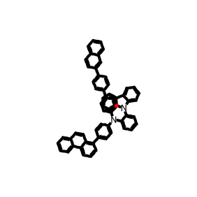 c1ccc(-n2c3ccccc3c3ccccc32)c(N(c2ccc(-c3ccc(-c4ccc5ccccc5c4)cc3)cc2)c2ccc(-c3cccc4c3ccc3ccccc34)cc2)c1